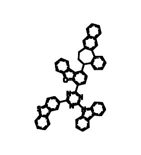 c1ccc2c(c1)-c1cc3ccccc3cc1CCC2c1ccc(-c2nc(-c3ccc4sc5ccccc5c4c3)nc(-n3c4ccccc4c4ccccc43)n2)c2oc3ccccc3c12